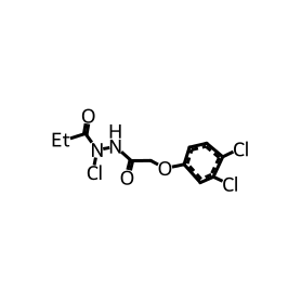 CCC(=O)N(Cl)NC(=O)COc1ccc(Cl)c(Cl)c1